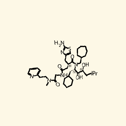 CC(C)C[C@H](O)[C@H](O)[C@H](CC1CCCCC1)N(CC1CCCCCC1)C(=O)[C@@H](CC(=O)NCC(=O)N(C)CCc1ccccn1)Cc1csc(N)n1